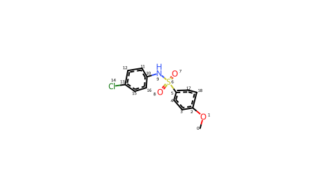 COc1ccc(S(=O)(=O)Nc2[c]cc(Cl)cc2)cc1